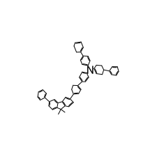 CC1(C)c2ccc(C3=CC=C(c4ccc(N(C5=CCC(c6ccccc6)CC5)c5ccc(C6=CC=CCC6)cc5)cc4)CC3)cc2-c2cc(-c3ccccc3)ccc21